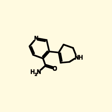 NC(=O)c1ccncc1C1=CCNCC1